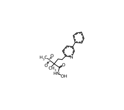 CC(CCc1ccc(-c2ccccc2)cn1)(C(=O)NO)S(C)(=O)=O